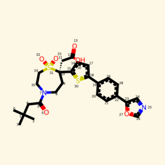 CC(C)(C)CC(=O)N1CC[C@](CC(=O)O)(c2ccc(-c3ccc(-c4cnco4)cc3)s2)S(=O)(=O)CC1